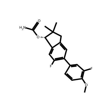 COc1ccc(-c2cc3c(cc2F)[C@H](OC(N)=O)C(C)(C)C3)cc1F